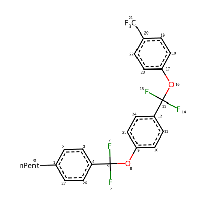 CCCCCc1ccc(C(F)(F)Oc2ccc(C(F)(F)Oc3ccc(C(F)(F)F)cc3)cc2)cc1